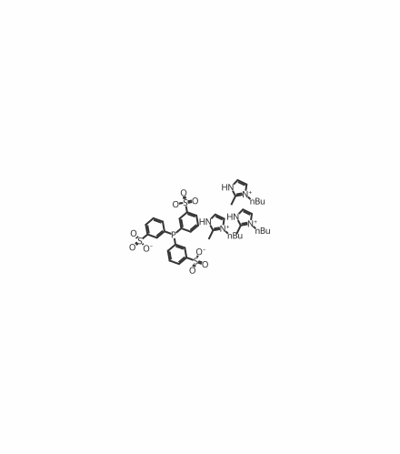 CCCC[n+]1cc[nH]c1C.CCCC[n+]1cc[nH]c1C.CCCC[n+]1cc[nH]c1C.O=S(=O)([O-])c1cccc(P(c2cccc(S(=O)(=O)[O-])c2)c2cccc(S(=O)(=O)[O-])c2)c1